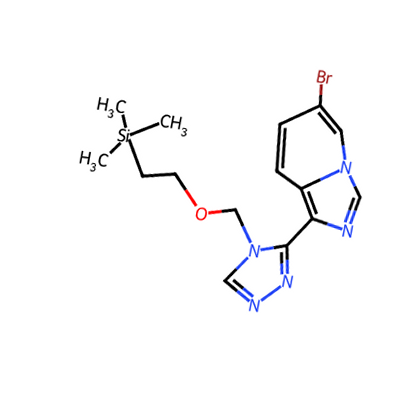 C[Si](C)(C)CCOCn1cnnc1-c1ncn2cc(Br)ccc12